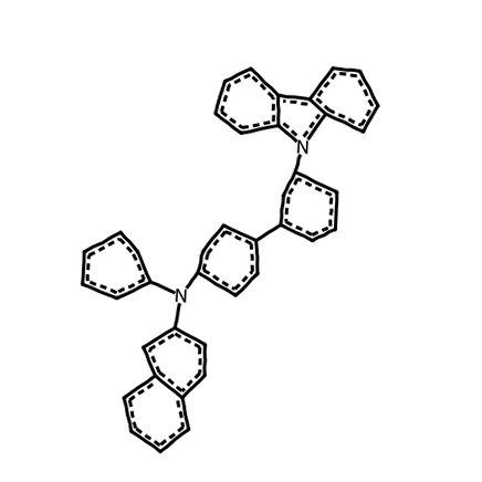 c1ccc(N(c2ccc(-c3cccc(-n4c5ccccc5c5ccccc54)c3)cc2)c2ccc3ccccc3c2)cc1